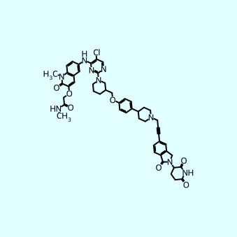 CNC(=O)COc1cc2cc(Nc3nc(N4CCCC(COc5ccc(C6CCN(CC#Cc7ccc8c(c7)CN(C7CCC(=O)NC7=O)C8=O)CC6)cc5)C4)ncc3Cl)ccc2n(C)c1=O